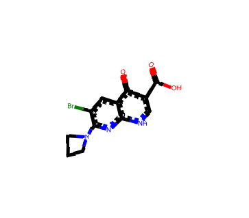 O=C(O)c1c[nH]c2nc(N3CCC3)c(Br)cc2c1=O